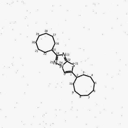 c1c(C2CCCCCCCC2)sc2nc(C3CCCCCCC3)nn12